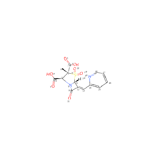 C[C@]1(C(=O)O)[C@H](C(=O)O)N2C(=O)/C(=C/c3ccccn3)[C@H]2S1(=O)=O